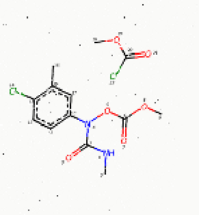 CNC(=O)N(OC(=O)OC)c1ccc(Cl)c(C)c1.COC(=O)Cl